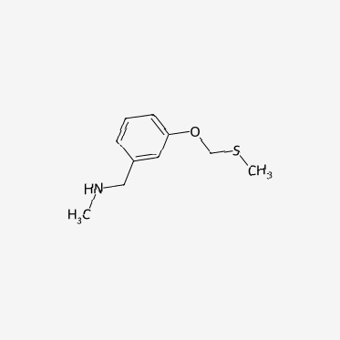 CNCc1cccc(OCSC)c1